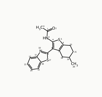 CC(=O)Nc1sc2c(c1-c1nc3ccccc3s1)CC(C)CC2